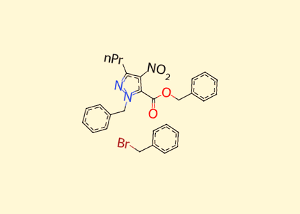 BrCc1ccccc1.CCCc1nn(Cc2ccccc2)c(C(=O)OCc2ccccc2)c1[N+](=O)[O-]